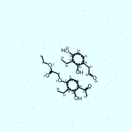 CCOC(=O)COc1ccc(C(C)=O)c(O)c1CC.CCc1c(O)ccc(CC=O)c1O